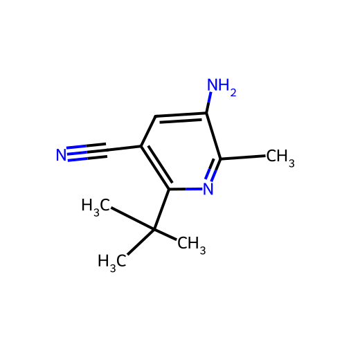 Cc1nc(C(C)(C)C)c(C#N)cc1N